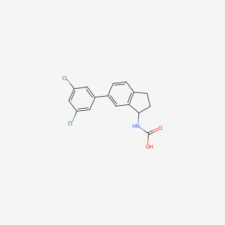 O=C(O)NC1CCc2ccc(-c3cc(Cl)cc(Cl)c3)cc21